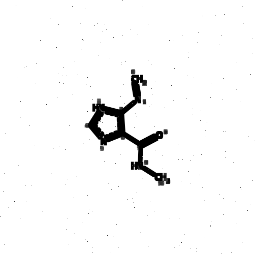 C=Nc1[nH]cnc1C(=O)NC